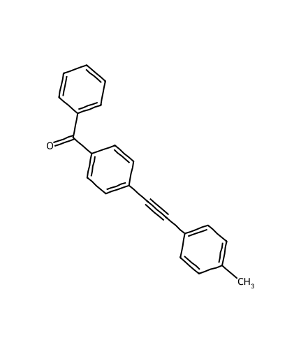 Cc1ccc(C#Cc2ccc(C(=O)c3ccccc3)cc2)cc1